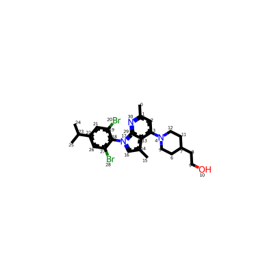 Cc1cc(N2CCC(CCO)CC2)c2c(C)cn(-c3c(Br)cc(C(C)C)cc3Br)c2n1